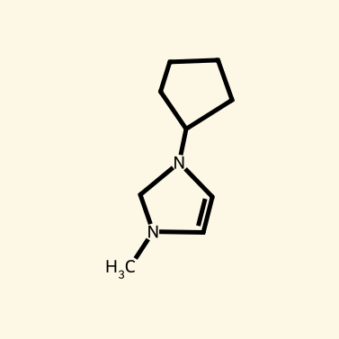 CN1C=CN(C2CCCC2)C1